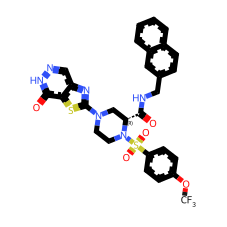 O=C(NCc1ccc2ccccc2c1)[C@H]1CN(c2nc3cn[nH]c(=O)c3s2)CCN1S(=O)(=O)c1ccc(OC(F)(F)F)cc1